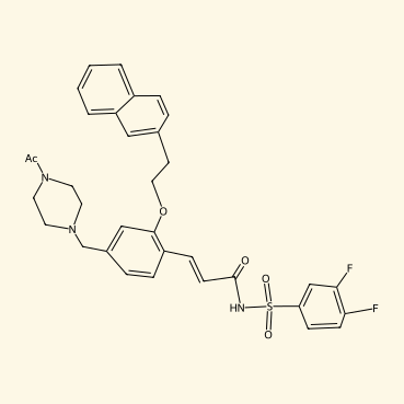 CC(=O)N1CCN(Cc2ccc(C=CC(=O)NS(=O)(=O)c3ccc(F)c(F)c3)c(OCCc3ccc4ccccc4c3)c2)CC1